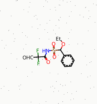 CCOC(c1ccccc1)S(=O)(=O)NC(=O)C(F)(F)C=O